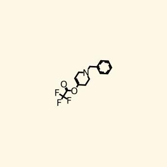 O=C(OC1=CCN(Cc2ccccc2)CC1)C(F)(F)F